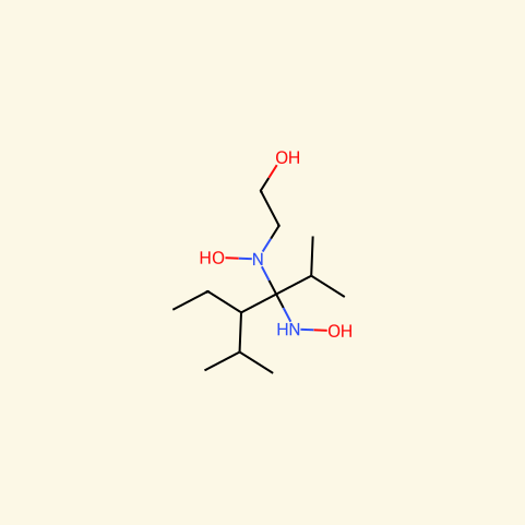 CCC(C(C)C)C(NO)(C(C)C)N(O)CCO